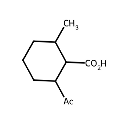 CC(=O)C1CCCC(C)C1C(=O)O